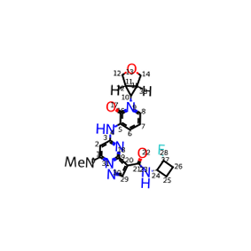 CNc1cc(Nc2cccn([C@H]3[C@@H]4COC[C@@H]43)c2=O)nc2c(C(=O)N[C@H]3CC[C@H]3F)cnn12